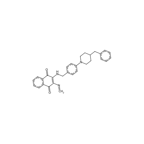 C=NC1=C(NCc2ccc(N3CCC(Cc4ccccc4)CC3)cc2)C(=O)c2ccccc2C1=O